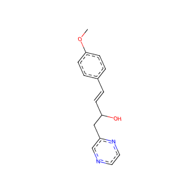 COc1ccc(C=CC(O)Cc2cnccn2)cc1